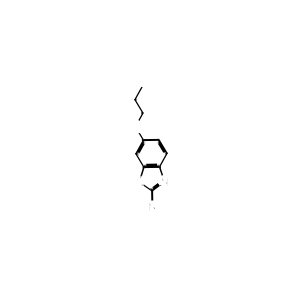 CCCOc1ccc2nc(N)sc2c1